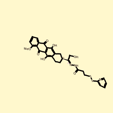 COc1cccc2c1C(=O)c1c(O)c3c(c(O)c1C2=O)C[C@@H](/C(CO)=N/NC(=O)CCSSc1ccccn1)CC3